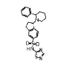 O=S(=O)(Nc1ncns1)c1ccc2c(c1)CCC2N1CCCCC1c1ccccc1